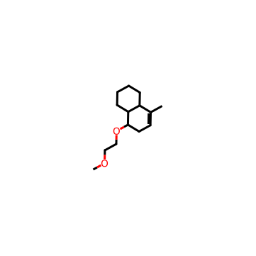 COCCOC1CC=C(C)C2CCCCC12